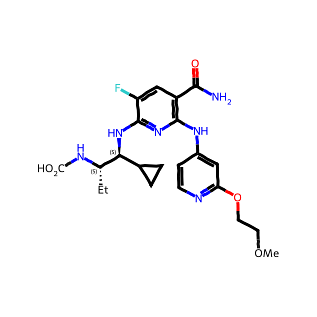 CC[C@H](NC(=O)O)[C@@H](Nc1nc(Nc2ccnc(OCCOC)c2)c(C(N)=O)cc1F)C1CC1